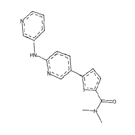 CN(C)C(=O)c1ccc(-c2ccc(Nc3cccnc3)nc2)s1